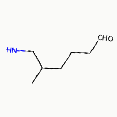 CC(C[NH])CCC[C]=O